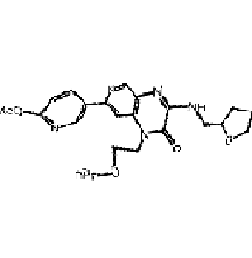 CCCOCCn1c(=O)c(NC[C@H]2CCCO2)nc2cnc(-c3ccc(OC)nc3)cc21